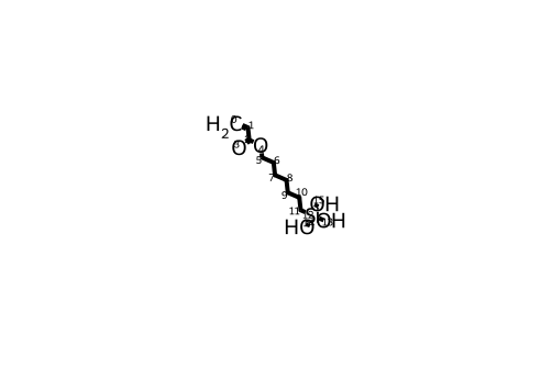 C=CC(=O)OCCCCCCC[Si](O)(O)O